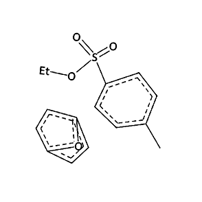 CCOS(=O)(=O)c1ccc(C)cc1.c1cc2ccc1o2